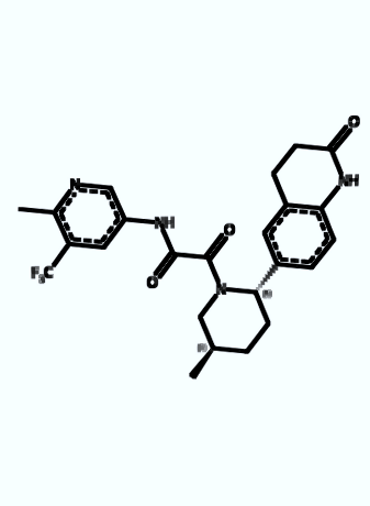 Cc1ncc(NC(=O)C(=O)N2C[C@H](C)CC[C@H]2c2ccc3c(c2)CCC(=O)N3)cc1C(F)(F)F